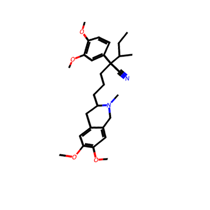 CCC(C)C(C#N)(CCCC1Cc2cc(OC)c(OC)cc2CN1C)c1ccc(OC)c(OC)c1